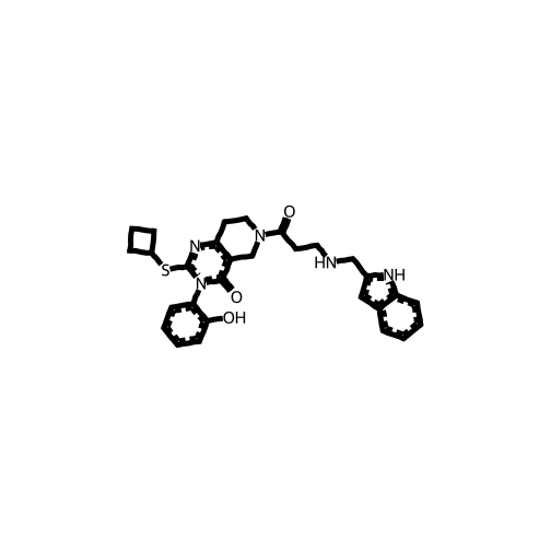 O=C(CCNCc1cc2ccccc2[nH]1)N1CCc2nc(SC3CCC3)n(-c3ccccc3O)c(=O)c2C1